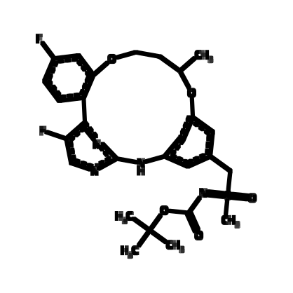 CC1CCOc2cc(F)ccc2-c2nc(ncc2F)Nc2cc(CS(C)(=O)=NC(=O)OC(C)(C)C)cc(c2)O1